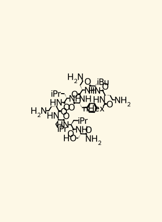 CCCCCCC(=O)N[C@@H](CCN)C(=O)N[C@H](C(=O)N[C@@H](CCN)C(=O)N[C@H](Cc1ccccc1)C(=O)N[C@@H](CC(C)C)C(=O)N[C@@H](CCN)C(=O)N[C@H](CC(C)C)C(=O)N[C@@H](CC(C)C)C(=O)N[C@@H](CO)C(N)=O)[C@@H](C)CC